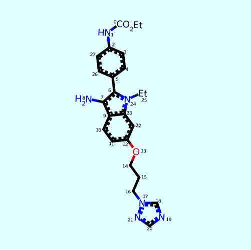 CCOC(=O)Nc1ccc(-c2c(N)c3ccc(OCCCn4cncn4)cc3n2CC)cc1